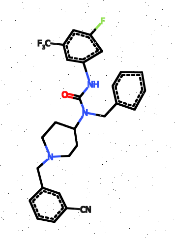 N#Cc1cccc(CN2CCC(N(Cc3ccccc3)C(=O)Nc3cc(F)cc(C(F)(F)F)c3)CC2)c1